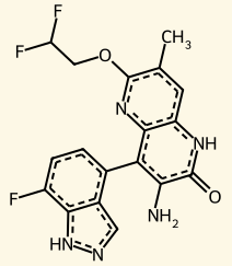 Cc1cc2[nH]c(=O)c(N)c(-c3ccc(F)c4[nH]ncc34)c2nc1OCC(F)F